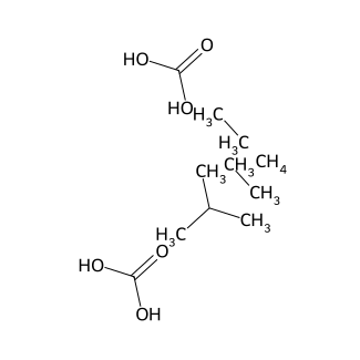 C.CC.CC.CC(C)C.O=C(O)O.O=C(O)O